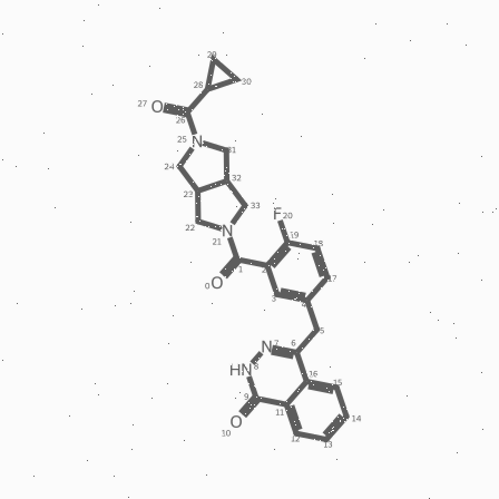 O=C(c1cc(Cc2n[nH]c(=O)c3ccccc23)ccc1F)N1CC2CN(C(=O)C3CC3)CC2C1